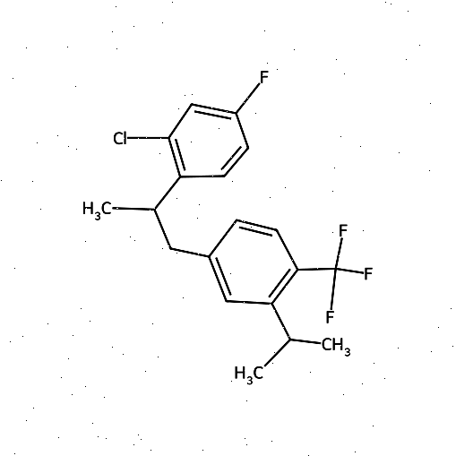 CC(C)c1cc(CC(C)c2ccc(F)cc2Cl)ccc1C(F)(F)F